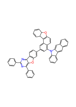 C1=CC2Oc3ccc4c(-n5c6ccccc6c6cc7ccccc7cc65)cc(-c5ccc6c(c5)oc5c(-c7ccccc7)nc(-c7ccccc7)nc56)cc4c3C2C=C1